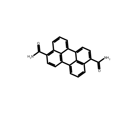 NC(=O)c1ccc2c3cccc4c(C(N)=O)ccc(c5cccc1c52)c43